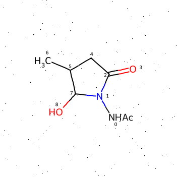 CC(=O)NN1C(=O)CC(C)C1O